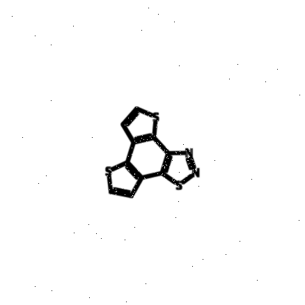 c1cc2c(s1)c1ccsc1c1nnsc21